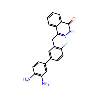 Nc1ccc(-c2ccc(F)c(Cc3n[nH]c(=O)c4ccccc34)c2)cc1N